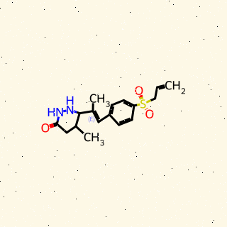 C=CCS(=O)(=O)c1ccc(/C=C(\C)C2NNC(=O)CC2C)cc1